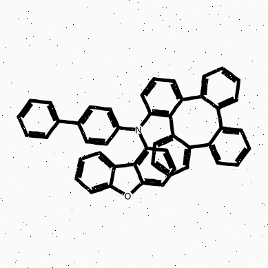 c1ccc(-c2ccc(N(c3cccc4c3-c3ccccc3-c3ccccc3-c3ccccc3-4)c3cccc4oc5ccccc5c34)cc2)cc1